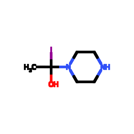 CC(O)(I)N1CCNCC1